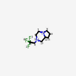 FC(F)(F)CN1CCN2CCCC2C1